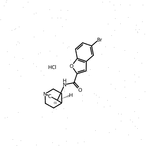 Cl.O=C(N[C@@H]1CN2CCC1CC2)c1cc2cc(Br)ccc2o1